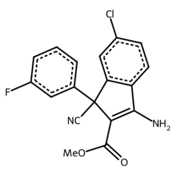 COC(=O)C1=C(N)c2ccc(Cl)cc2C1(C#N)c1cccc(F)c1